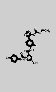 CCOC(=O)Oc1ncoc1-c1ccc(NC(=O)[C@H]2C[C@@H](O)CN2C(=O)Nc2ccc(Cl)cc2)c(F)c1